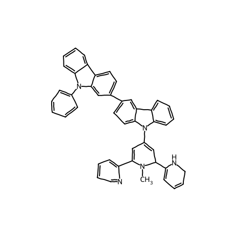 CN1C(c2ccccn2)=CC(n2c3ccccc3c3cc(-c4ccc5c6ccccc6n(-c6ccccc6)c5c4)ccc32)=CC1C1=CC=CCN1